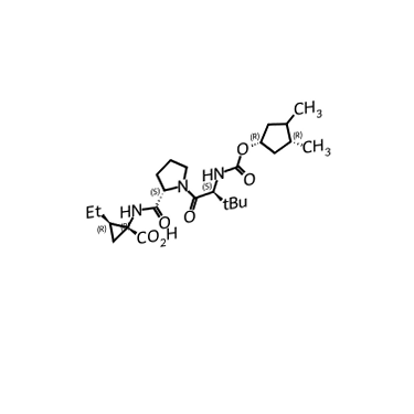 CC[C@@H]1C[C@]1(NC(=O)[C@@H]1CCCN1C(=O)[C@@H](NC(=O)O[C@@H]1CC(C)[C@H](C)C1)C(C)(C)C)C(=O)O